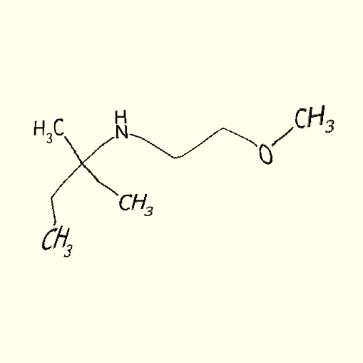 CCC(C)(C)NCCOC